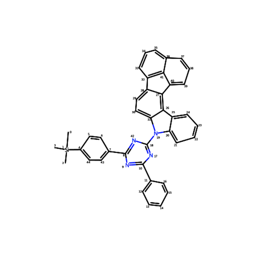 C[Si](C)(C)c1ccc(-c2nc(-c3ccccc3)nc(-n3c4ccccc4c4c5c(ccc43)-c3cccc4cccc-5c34)n2)cc1